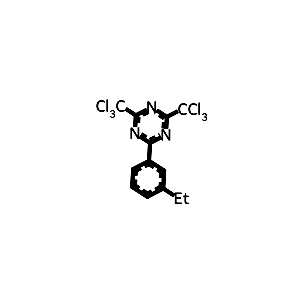 CCc1cccc(-c2nc(C(Cl)(Cl)Cl)nc(C(Cl)(Cl)Cl)n2)c1